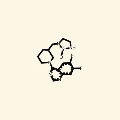 [O-][S+]1NCCN1CC1CCCN(c2ncnc3cc(F)c(F)cc23)C1